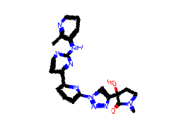 Cc1ncccc1Nc1nccc(-c2cccc(-n3cc(C4(O)CCN(C)C4=O)nn3)n2)n1